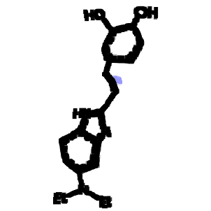 CCN(CC)c1ccc2[nH]c(/C=C/c3ccc(O)c(O)c3)nc2c1